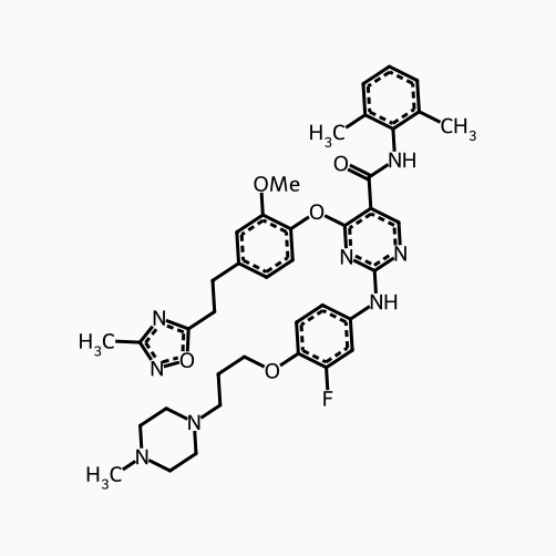 COc1cc(CCc2nc(C)no2)ccc1Oc1nc(Nc2ccc(OCCCN3CCN(C)CC3)c(F)c2)ncc1C(=O)Nc1c(C)cccc1C